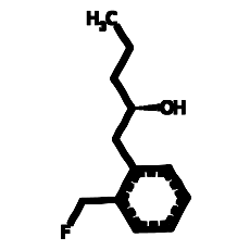 CCC[C@H](O)Cc1ccccc1CF